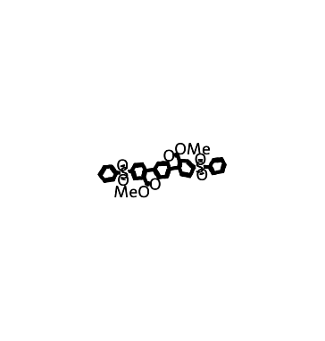 COC(=O)c1cc(S(=O)(=O)c2ccccc2)ccc1-c1ccc(-c2ccc(S(=O)(=O)c3ccccc3)cc2C(=O)OC)cc1